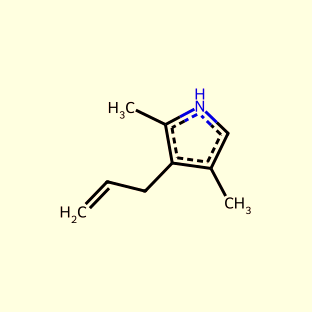 C=CCc1c(C)c[nH]c1C